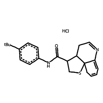 CC(C)(C)c1ccc(NC(=O)C2CSC34CC=CC=C3N=CCC24)cc1.Cl